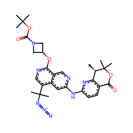 C[C@@H]1c2nc(Nc3cc4c(C(C)(C)N=[N+]=[N-])cnc(OC5CN(C(=O)OC(C)(C)C)C5)c4cn3)ccc2C(=O)OC1(C)C